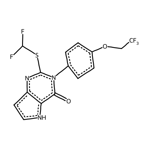 O=c1c2[nH]ccc2nc(SC(F)F)n1-c1ccc(OCC(F)(F)F)cc1